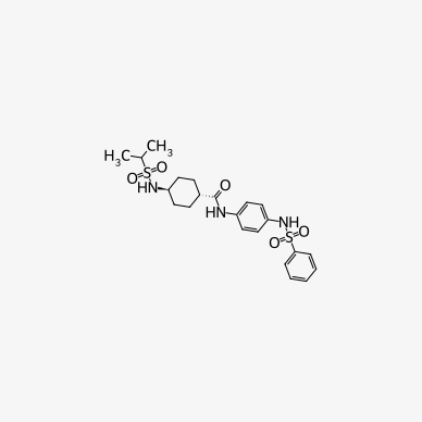 CC(C)S(=O)(=O)N[C@H]1CC[C@H](C(=O)Nc2ccc(NS(=O)(=O)c3ccccc3)cc2)CC1